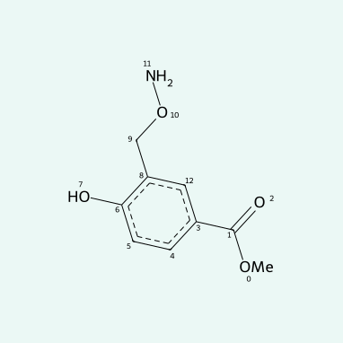 COC(=O)c1ccc(O)c(CON)c1